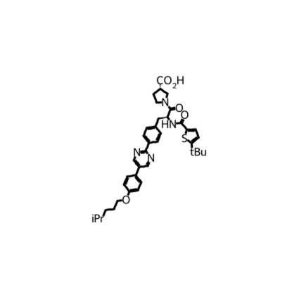 CC(C)CCCOc1ccc(-c2cnc(-c3ccc(C[C@H](NC(=O)c4ccc(C(C)(C)C)s4)C(=O)N4CC[C@H](C(=O)O)C4)cc3)nc2)cc1